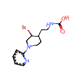 O=C(O)NCCC1CCN(c2ccccn2)CC1Br